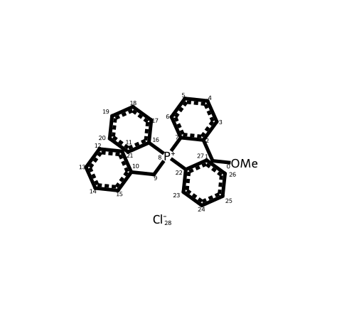 COCc1ccccc1[P+](Cc1ccccc1)(c1ccccc1)c1ccccc1.[Cl-]